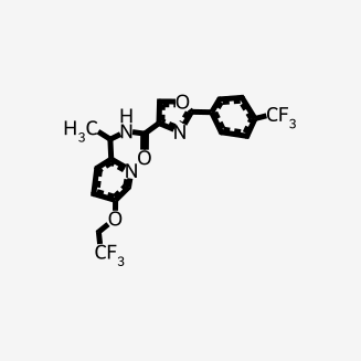 CC(NC(=O)c1coc(-c2ccc(C(F)(F)F)cc2)n1)c1ccc(OCC(F)(F)F)cn1